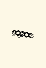 O=C1SC2c3cc4cscc4cc3C1c1cc3sccc3cc12